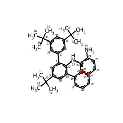 CC(C)(C)c1cc(-c2cc(C(C)(C)C)cc(-c3ccccc3)c2Nc2ccccc2N)cc(C(C)(C)C)c1